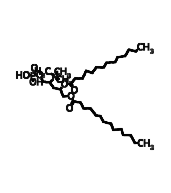 CCCCCCCCCCCCCC(=O)OCC(CC(COP(=O)(O)O)[N+](C)(C)C)OC(=O)CCCCCCCCCCCCC